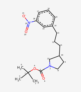 CC(C)(C)OC(=O)N1CCC(CCCc2cccc([N+](=O)[O-])c2)C1